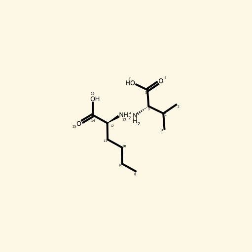 CC(C)[C@H](N)C(=O)O.CCCC[C@H](N)C(=O)O